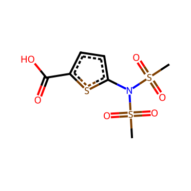 CS(=O)(=O)N(c1ccc(C(=O)O)s1)S(C)(=O)=O